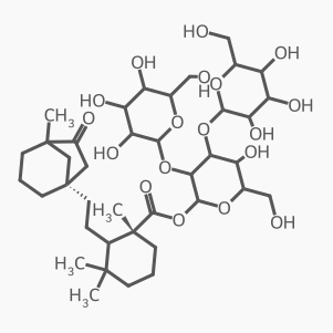 CC12CCC[C@](CCC3C(C)(C)CCC[C@@]3(C)C(=O)OC3OC(CO)C(O)C(OC4OC(CO)C(O)C(O)C4O)C3OC3OC(CO)C(O)C(O)C3O)(CC1=O)C2